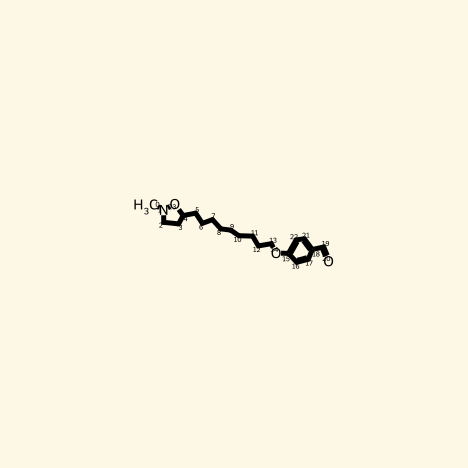 CN1CCC(CCCCCCCCCOc2ccc(C=O)cc2)O1